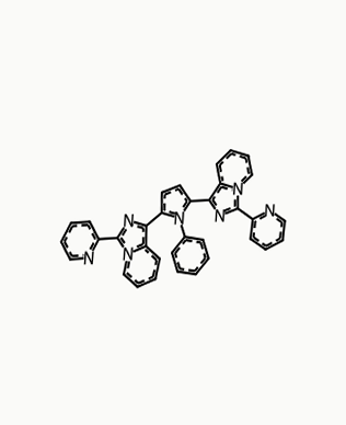 c1ccc(-n2c(-c3nc(-c4ccccn4)n4ccccc34)ccc2-c2nc(-c3ccccn3)n3ccccc23)cc1